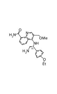 CCOc1ccc([C@@H](CN)Nc2c(COC)cnc3c(C(N)=O)cccc23)cc1